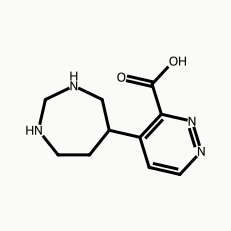 O=C(O)c1nnccc1C1CCNCNC1